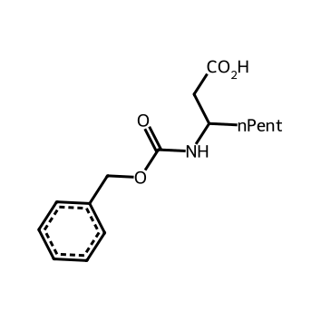 CCCCCC(CC(=O)O)NC(=O)OCc1ccccc1